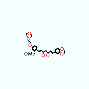 COc1cc(OCCN2CCOCC2)ccc1C=CC(=O)CC(=O)C=Cc1ccc2c(c1)OCCO2